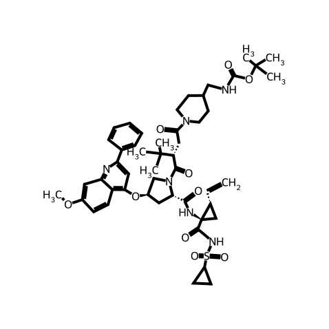 C=C[C@@H]1C[C@]1(NC(=O)[C@@H]1C[C@@H](Oc2cc(-c3ccccc3)nc3cc(OC)ccc23)CN1C(=O)[C@@H](CC(=O)N1CCC(CNC(=O)OC(C)(C)C)CC1)C(C)(C)C)C(=O)NS(=O)(=O)C1CC1